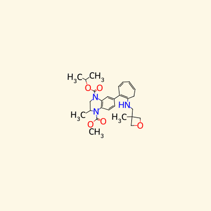 COC(=O)N1c2ccc(C3=C(NCC4(C)COC4)CC=CC=C3)cc2N(C(=O)OC(C)C)CC1C